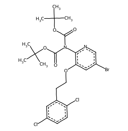 CC(C)(C)OC(=O)N(C(=O)OC(C)(C)C)c1ncc(Br)cc1OCCc1cc(Cl)ccc1Cl